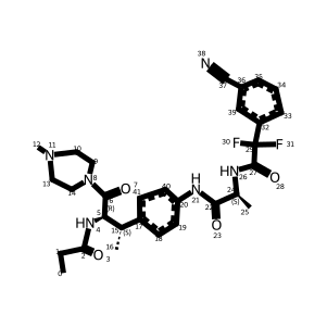 CCC(=O)N[C@@H](C(=O)N1CCN(C)CC1)[C@@H](C)c1ccc(NC(=O)[C@H](C)NC(=O)C(F)(F)c2cccc(C#N)c2)cc1